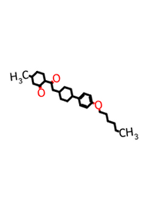 CCCCCCOc1ccc(C2CCC(CC(=O)C3CCC(C)CC3=O)CC2)cc1